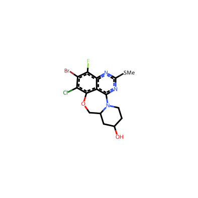 CSc1nc2c3c(c(Cl)c(Br)c(F)c3n1)OCC1CC(O)CCN21